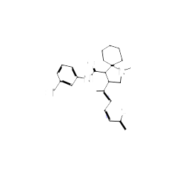 C=C(Cl)/C=C\C=C(/F)C1CN(C)C2(CCCCC2)C1C(=O)Nc1cccc(Cl)c1